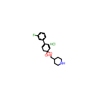 Cl.OC1(OCC2CCNCC2)C=CC(c2cccc(F)c2)=CC1